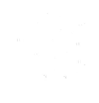 CNc1ccccn1.Cl.O=C(O)c1cccc(C(=O)O)c1